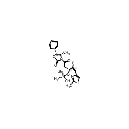 Cc1nc(/C=C(/F)[C@H](CC(=O)N2C(=O)O[C@H](c3ccccc3)[C@@H]2C)O[Si](C)(C)C(C)(C)C)co1